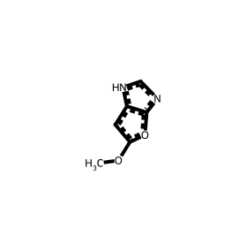 COc1cc2[nH]cnc2o1